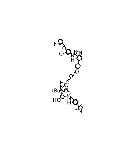 Cc1ncsc1-c1ccc(CNC(=O)C2CC(O)CN2C(=O)[C@@H](NC(=O)COCCOCCOc2ccc(-c3ccc4ncnc(Nc5ccc(OCc6cccc(F)c6)c(Cl)c5)c4c3)cc2)C(C)(C)C)cc1